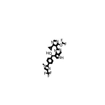 Cn1cc(C(F)(F)F)nc1-c1ccc([C@@H](O)c2c[nH]c3cnc(-c4c(OC(F)F)ncnc4C4CC4)nc23)cc1